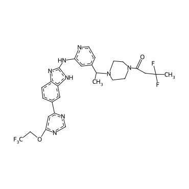 CC(c1ccnc(Nc2nc3ccc(-c4cc(OCC(F)(F)F)ncn4)cc3[nH]2)c1)N1CCN(C(=O)CC(C)(F)F)CC1